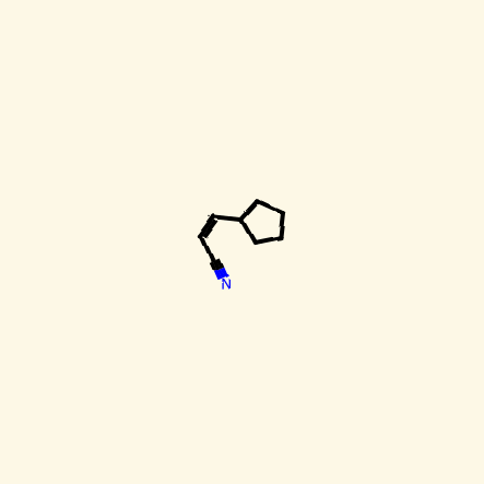 N#C/C=[C]\C1CCCC1